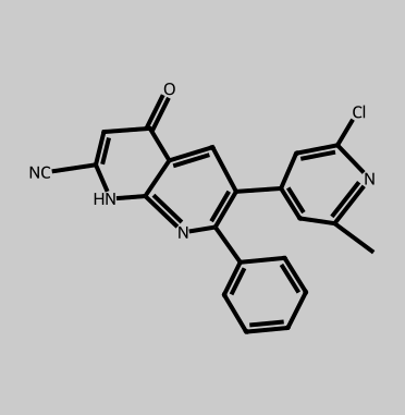 Cc1cc(-c2cc3c(=O)cc(C#N)[nH]c3nc2-c2ccccc2)cc(Cl)n1